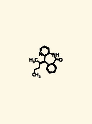 CCC/C(C)=C1\c2ccccc2C(=O)Nc2cccnc21